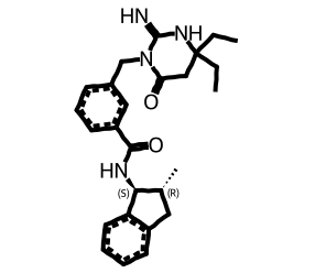 CCC1(CC)CC(=O)N(Cc2cccc(C(=O)N[C@@H]3c4ccccc4C[C@H]3C)c2)C(=N)N1